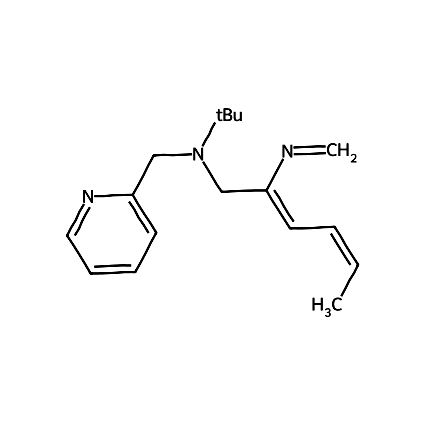 C=N/C(=C\C=C/C)CN(Cc1ccccn1)C(C)(C)C